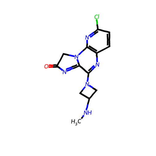 CNC1CN(C2=Nc3ccc(Cl)nc3N3CC(=O)N=C23)C1